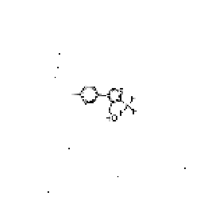 Cc1ccc(-c2csc(C(F)(F)F)c2CO)cn1